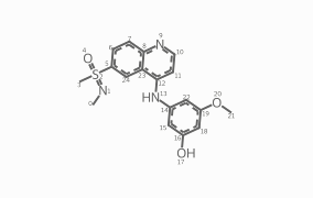 CN=S(C)(=O)c1ccc2nccc(Nc3cc(O)cc(OC)c3)c2c1